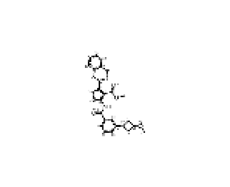 COC(=O)c1c(C2CCc3ccccc3C2)csc1NC(=O)c1cccc(N2CC(OC)C2)c1